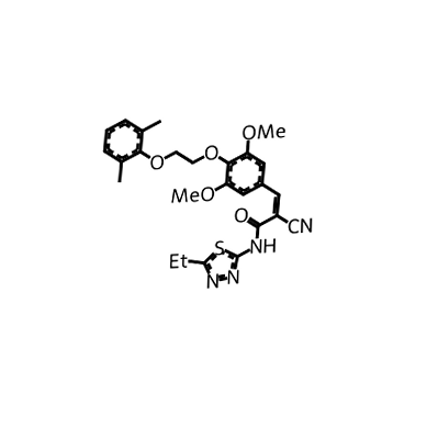 CCc1nnc(NC(=O)C(C#N)=Cc2cc(OC)c(OCCOc3c(C)cccc3C)c(OC)c2)s1